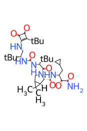 CC(C)(C)c1c(NC[C@@H](NC(=O)N[C@H](C(=O)N2CC3[C@@H]([C@H]2C(=O)NC(CC2CC2)C(=O)C(N)=O)C3(C)C)C(C)(C)C)C(C)(C)C)c(=O)c1=O